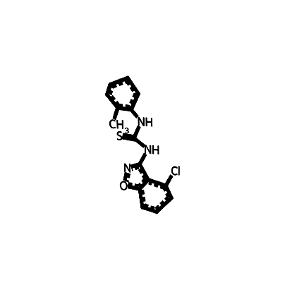 Cc1ccccc1NC(=S)Nc1noc2cccc(Cl)c12